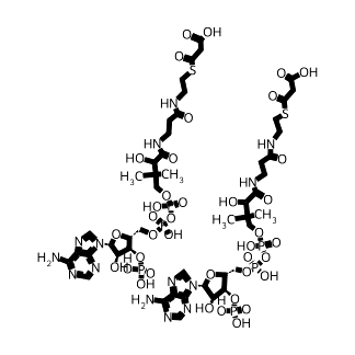 CC(C)(COP(=O)(O)OP(=O)(O)OC[C@H]1O[C@@H](n2cnc3c(N)ncnc32)[C@H](O)[C@@H]1OP(=O)(O)O)C(O)C(=O)NCCC(=O)NCCSC(=O)CC(=O)O.CC(C)(COP(=O)(O)OP(=O)(O)OC[C@H]1O[C@@H](n2cnc3c(N)ncnc32)[C@H](O)[C@@H]1OP(=O)(O)O)C(O)C(=O)NCCC(=O)NCCSC(=O)CC(=O)O